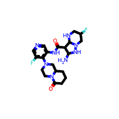 NC1NN2CC(F)CNC2C1C(=O)Nc1cncc(F)c1N1CCN2C(=O)CCCC2C1